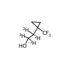 [2H]C([2H])(O)C([2H])([2H])C1(C(F)(F)F)CC1